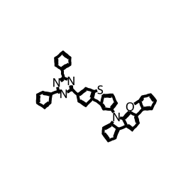 c1ccc(-c2nc(-c3ccccc3)nc(-c3ccc4c(c3)sc3ccc(-n5c6ccccc6c6ccc7c8ccccc8oc7c65)cc34)n2)cc1